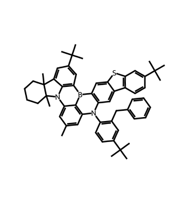 Cc1cc2c3c(c1)N1c4c(cc(C(C)(C)C)cc4C4(C)CCCCC14C)B3c1cc3sc4cc(C(C)(C)C)ccc4c3cc1N2c1ccc(C(C)(C)C)cc1Cc1ccccc1